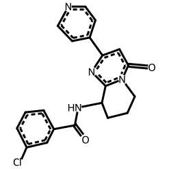 O=C(NC1CCCn2c1nc(-c1ccncc1)cc2=O)c1cccc(Cl)c1